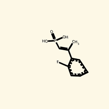 CC(=CP(=O)(O)O)c1ccccc1F